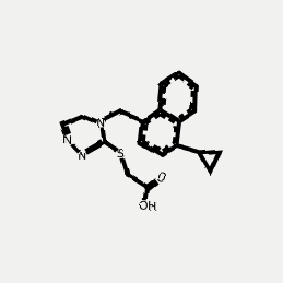 O=C(O)CSC1=NN=CCN1Cc1ccc(C2CC2)c2ccccc12